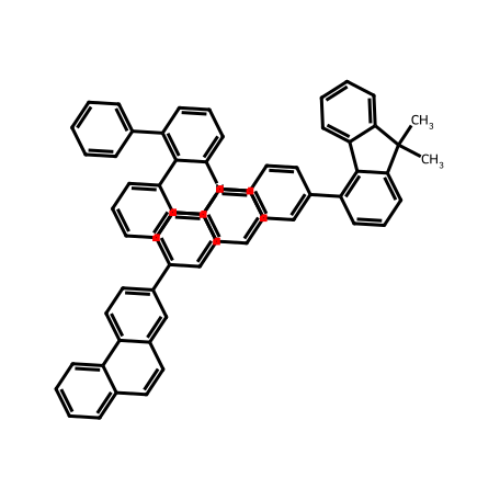 CC1(C)c2ccccc2-c2c(-c3ccc(N(c4ccc(-c5ccc6c(ccc7ccccc76)c5)cc4)c4cccc(-c5ccccc5)c4-c4ccccc4-c4ccccc4)cc3)cccc21